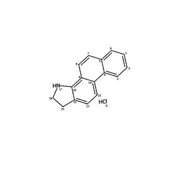 Cl.c1ccc2c(c1)ccc1c3c(ccc12)CCN3